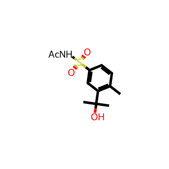 CC(=O)NS(=O)(=O)c1ccc(C)c(C(C)(C)O)c1